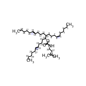 CCCCC/C=C\CCCC(CCC/C=C/CCCCC)C(CCC/C=C/CCCCC)OC(=O)NCCN(C)C